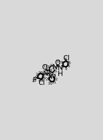 O=C(Nc1cccc(Cl)c1)N1CCC2(CC1)C(=O)N(c1ccc(F)c(Cl)c1)C2c1ccccn1